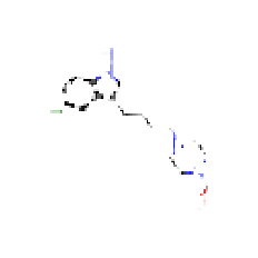 O=CN1CCN(CCCCc2c[nH]c3ccc(F)cc23)CC1